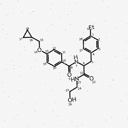 CCc1ccc(CC(NC(=O)c2ccc(OCC3CC3)cc2)C(=O)NCCO)cc1